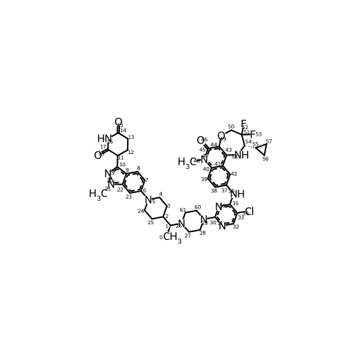 C[C@@H](C1CCN(c2ccc3c(C4CCC(=O)NC4=O)nn(C)c3c2)CC1)N1CCN(c2ncc(Cl)c(Nc3ccc4c(c3)c3c(c(=O)n4C)OCC(F)(F)[C@H](C4CC4)N3)n2)CC1